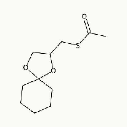 CC(=O)SCC1COC2(CCCCC2)O1